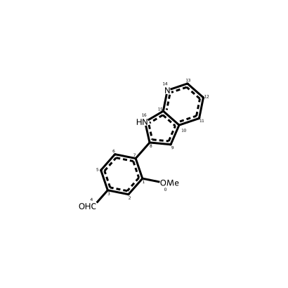 COc1cc(C=O)ccc1-c1cc2cccnc2[nH]1